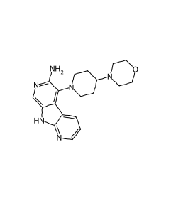 Nc1ncc2[nH]c3ncccc3c2c1N1CCC(N2CCOCC2)CC1